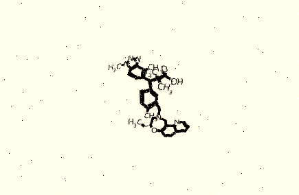 CC[C@@H]1CN(Cc2cc(C(c3ccc4c(nnn4C)c3C)C(C)(C)C(=O)O)ccc2C)Cc2c(ccc3cccnc23)O1